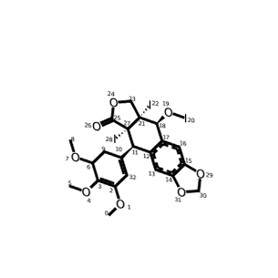 COC1=C(OC)C(OC)CC([C@@H]2c3cc4c(cc3[C@H](OI)[C@]3(I)COC(=O)[C@]23I)OCO4)=C1